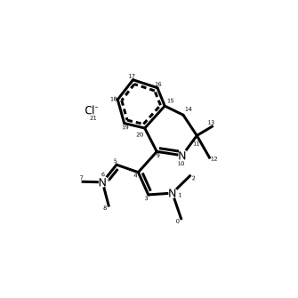 CN(C)C=C(C=[N+](C)C)C1=NC(C)(C)Cc2ccccc21.[Cl-]